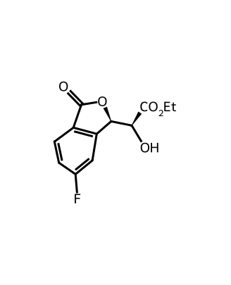 CCOC(=O)[C@@H](O)[C@@H]1OC(=O)c2ccc(F)cc21